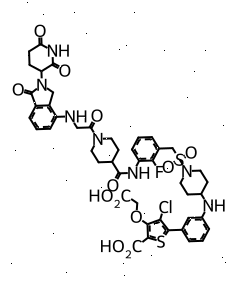 O=C(O)COc1c(C(=O)O)sc(-c2cccc(NC3CCN(S(=O)(=O)Cc4cccc(NC(=O)C5CCN(C(=O)CNc6cccc7c6CN(C6CCC(=O)NC6=O)C7=O)CC5)c4F)CC3)c2)c1Cl